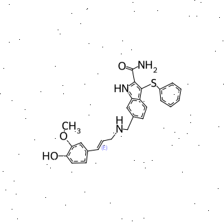 COc1cc(/C=C/CNCc2ccc3c(Sc4ccccc4)c(C(N)=O)[nH]c3c2)ccc1O